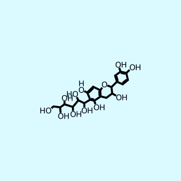 OCC(O)C(O)C(O)C(O)C(O)c1c(O)cc2c(c1O)CC(O)C(c1ccc(O)c(O)c1)O2